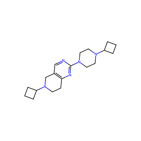 c1nc(N2CCN(C3CCC3)CC2)nc2c1CN(C1CCC1)CC2